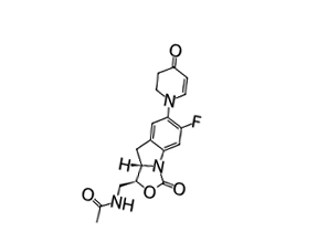 CC(=O)NC[C@@H]1OC(=O)N2c3cc(F)c(N4C=CC(=O)CC4)cc3C[C@@H]12